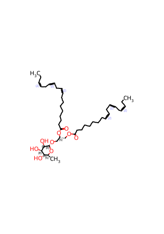 CC/C=C\C/C=C\C/C=C\CCCCCCCC(=O)OC[C@H](CO[C@@H]1O[C@@H](C)[C@H](O)[C@@H](O)[C@H]1O)OC(=O)CCCCCCC/C=C\C/C=C\C/C=C\CC